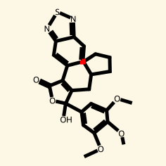 COc1cc(C2(O)OC(=O)C(c3ccc4nsnc4c3)=C2CC2CCCC2)cc(OC)c1OC